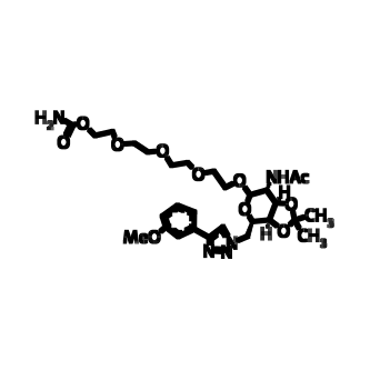 COc1cccc(-c2cn(C[C@H]3OC(OCCOCCOCCOCCOC(N)=O)[C@H](NC(C)=O)[C@H]4OC(C)(C)O[C@H]43)nn2)c1